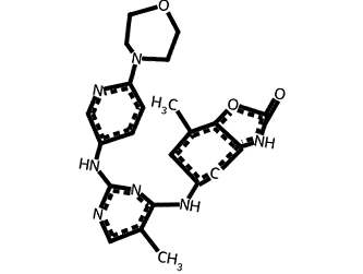 Cc1cnc(Nc2ccc(N3CCOCC3)nc2)nc1Nc1cc(C)c2oc(=O)[nH]c2c1